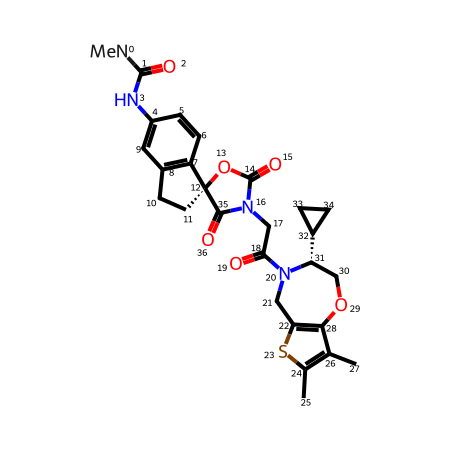 CNC(=O)Nc1ccc2c(c1)CC[C@@]21OC(=O)N(CC(=O)N2Cc3sc(C)c(C)c3OC[C@H]2C2CC2)C1=O